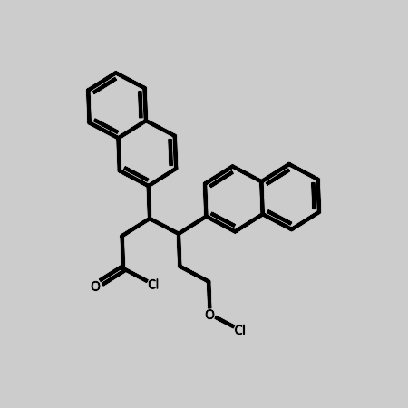 O=C(Cl)CC(c1ccc2ccccc2c1)C(CCOCl)c1ccc2ccccc2c1